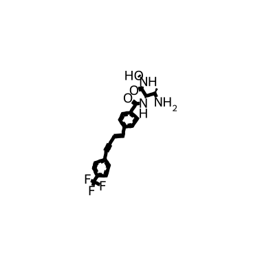 C[C@@H](N)[C@H](NC(=O)c1ccc(/C=C/C#Cc2ccc(C(F)(F)F)cc2)cc1)C(=O)NO